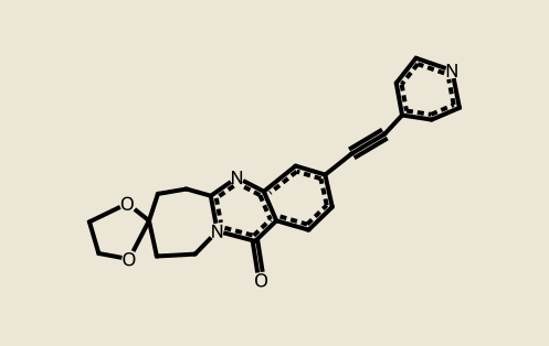 O=c1c2ccc(C#Cc3ccncc3)cc2nc2n1CCC1(CC2)OCCO1